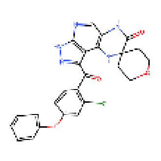 O=C(c1ccc(Oc2ccccc2)cc1Cl)c1n[nH]c2ncc3c(c12)NC1(CCOCC1)C(=O)N3